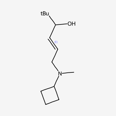 CN(C/C=C/C(O)C(C)(C)C)C1CCC1